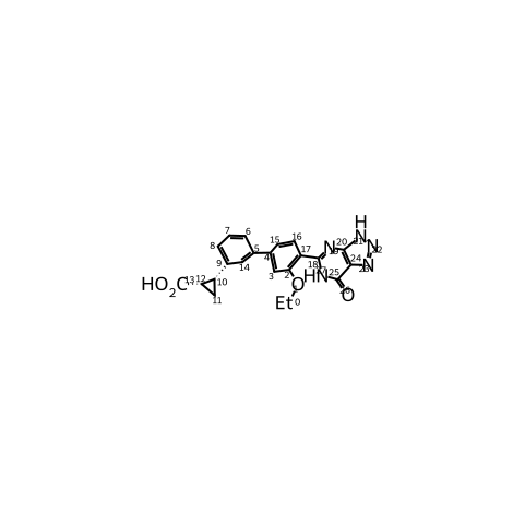 CCOc1cc(-c2cccc([C@@H]3C[C@@H]3C(=O)O)c2)ccc1-c1nc2[nH]nnc2c(=O)[nH]1